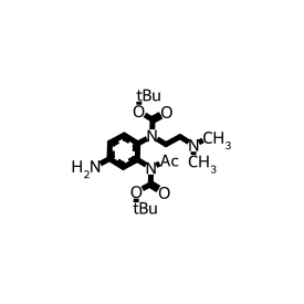 CC(=O)N(C(=O)OC(C)(C)C)c1cc(N)ccc1N(CCN(C)C)C(=O)OC(C)(C)C